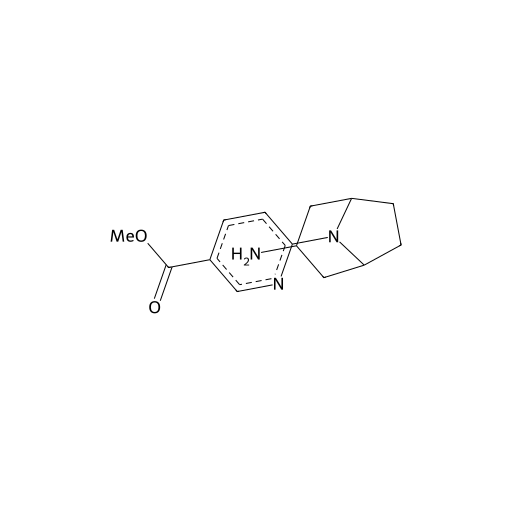 COC(=O)c1ccc(N2C3CCC2CC(N)C3)nc1